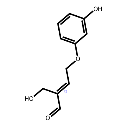 O=C/C(=C/COc1cccc(O)c1)CO